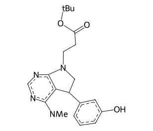 CNc1ncnc2c1C(c1cccc(O)c1)CN2CCC(=O)OC(C)(C)C